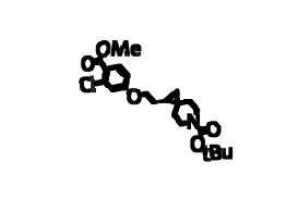 COC(=O)c1ccc(OCC[C@H]2CC23CCN(C(=O)OC(C)(C)C)CC3)cc1Cl